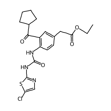 CCOC(=O)Cc1ccc(NC(=O)Nc2ncc(Cl)s2)c(C(=O)C2CCCC2)c1